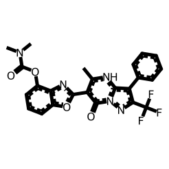 Cc1[nH]c2c(-c3ccccc3)c(C(F)(F)F)nn2c(=O)c1-c1nc2c(OC(=O)N(C)C)cccc2o1